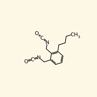 CCCCc1cccc(CN=C=O)c1CN=C=O